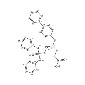 O=C(O)CC[C@@H](Cc1ccc(-c2ccccc2)cc1)NCP(=O)(Oc1ccccc1)Oc1ccccc1